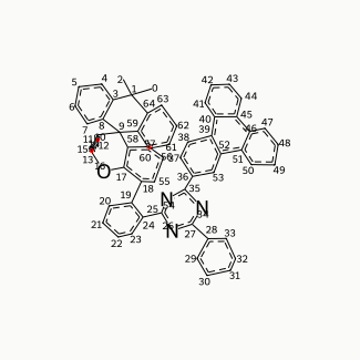 CC1(C)c2ccccc2C2(c3ccccc3Oc3c(-c4ccccc4-c4nc(-c5ccccc5)nc(-c5ccc6c7ccccc7c7ccccc7c6c5)n4)cccc32)c2ccccc21